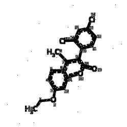 CCOc1ccc2c(C)c(-c3ccc(Cl)cc3Cl)c(=O)oc2c1